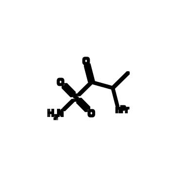 CCCC(C)C(=O)S(N)(=O)=O